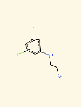 NCCNc1cc(F)cc(F)c1